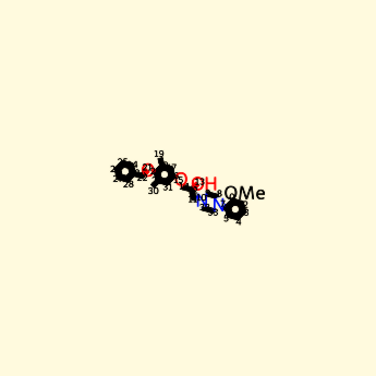 COc1ccccc1N1CCN(CC(O)COc2cc(C)c(OCc3ccccc3)c(C)c2)CC1